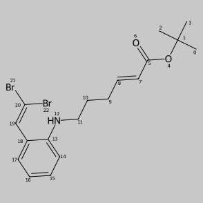 CC(C)(C)OC(=O)C=CCCCNc1ccccc1C=C(Br)Br